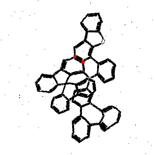 c1ccc(N(c2ccc3c4ccccc4c4ccccc4c3c2)c2cccc3c2C2(c4ccccc4-c4ccccc42)c2ccccc2-3)c(-c2cccc3c2oc2ccccc23)c1